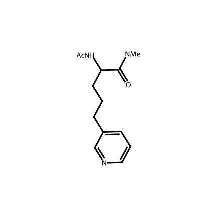 CNC(=O)C(CCCc1cccnc1)NC(C)=O